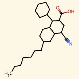 CCCCCCCC1CCC2C(C1)C(C#N)CC(C(=O)O)C2C1CCCCC1